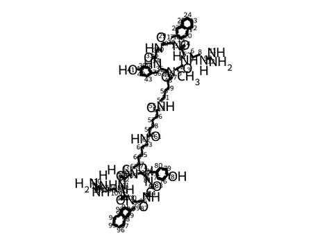 C[C@@H]1C(=O)N[C@@H](CCCNC(=N)N)C(=O)N[C@@H](Cc2ccc3ccccc3c2)C(=O)NCC(=O)N[C@H](Cc2ccc(O)cc2)C(=O)N1CCCCCCNC(=O)CCCCC(=O)NCCCCCCN1C(=O)[C@@H](Cc2ccc(O)cc2)NC(=O)CNC(=O)[C@H](Cc2ccc3ccccc3c2)NC(=O)[C@H](CCCNC(=N)N)NC(=O)[C@H]1C